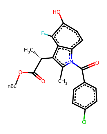 CCCCOC(=O)[C@H](C)c1c(C)n(C(=O)c2ccc(Cl)cc2)c2ccc(O)c(F)c12